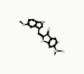 COc1ccc2[nH]cc(/C=C3/Oc4cc([S+](C)[O-])ccc4C3=O)c2c1